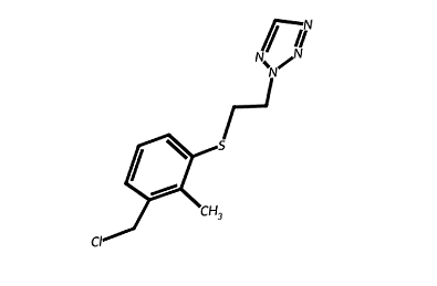 Cc1c(CCl)cccc1SCCn1ncnn1